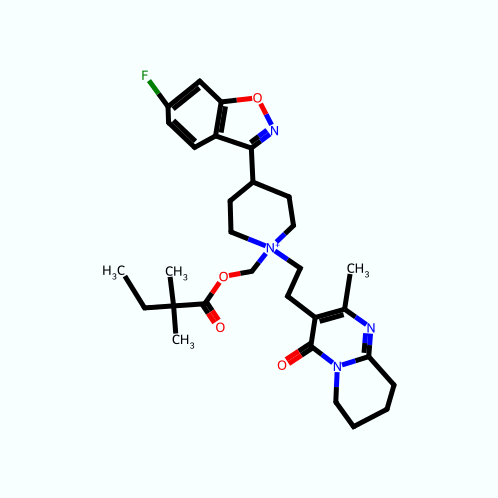 CCC(C)(C)C(=O)OC[N+]1(CCc2c(C)nc3n(c2=O)CCCC3)CCC(c2noc3cc(F)ccc23)CC1